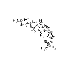 CC(C)C(C)(c1ccc(-c2cnc(N)nc2)nc1)c1noc(-c2cnn(CC(=O)N(C)C)c2)n1